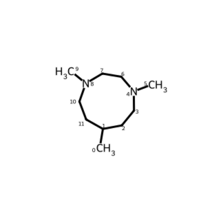 CC1CCN(C)CCN(C)CC1